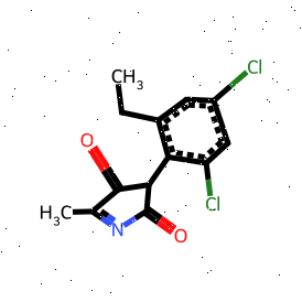 CCc1cc(Cl)cc(Cl)c1C1C(=O)N=C(C)C1=O